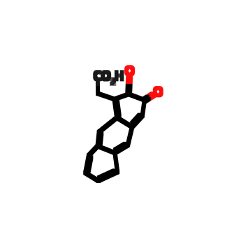 O=C(O)CC1=c2cc3ccccc3cc2=CC(=O)C1=O